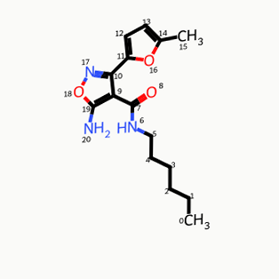 CCCCCCNC(=O)c1c(-c2ccc(C)o2)noc1N